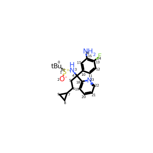 CC(C)(C)[S@+]([O-])NC(CCC1CC1)(c1ccc(F)c(N)c1)c1ccccn1